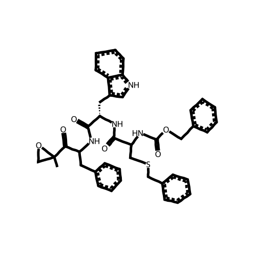 CC1(C(=O)C(Cc2ccccc2)NC(=O)[C@H](Cc2c[nH]c3ccccc23)NC(=O)C(CSCc2ccccc2)NC(=O)OCc2ccccc2)CO1